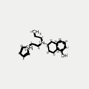 CCCN(CC[SH]1C=CC=C1)[C@H]1CCc2c(O)cccc2C1